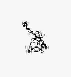 C[C@@H](NCOCCn1cnnn1)[C@H]1C(=O)N2C(C(=O)O)=C(S[C@@H]3CN[C@H](C(=O)N4CCN(C(=N)N)CC4)C3)[C@H](C)[C@H]12